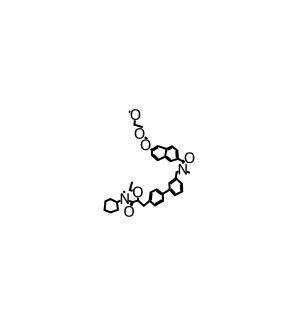 CCOC(Cc1ccc(-c2cccc(CN(C)C(=O)c3ccc4cc(OCOCCOC)ccc4c3)c2)cc1)C(=O)N(C)C1CCCCC1